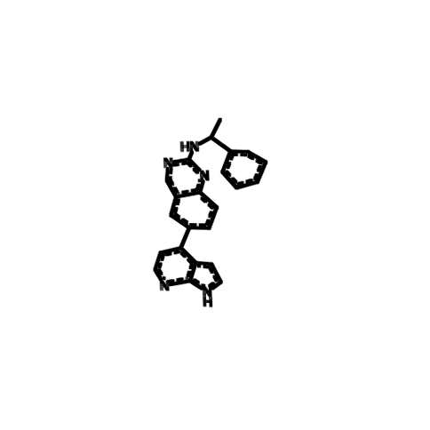 CC(Nc1ncc2cc(-c3ccnc4[nH]ccc34)ccc2n1)c1ccccc1